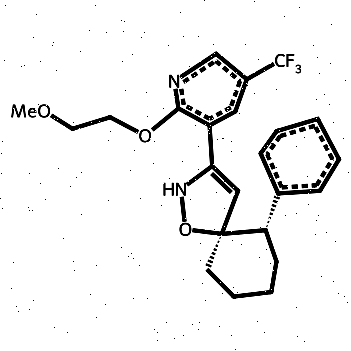 COCCOc1ncc(C(F)(F)F)cc1C1=C[C@]2(CCCC[C@H]2c2ccccc2)ON1